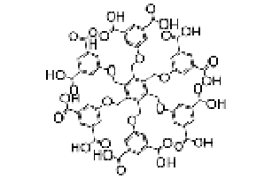 O=C(O)c1cc(OCc2c(COc3cc(C(=O)O)cc(C(=O)O)c3)c(COc3cc(C(=O)O)cc(C(=O)O)c3)c(COc3cc(C(=O)O)cc(C(=O)O)c3)c(COc3cc(C(=O)O)cc(C(=O)O)c3)c2COc2cc(C(=O)O)cc(C(=O)O)c2)cc(C(=O)O)c1